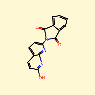 O=C1c2ccccc2C(=O)N1c1ccc2ccc(O)nc2n1